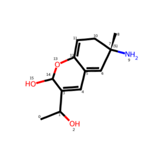 CC(O)C1=CC2=C[C@@](C)(N)CC=C2OC1O